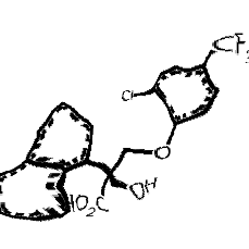 O=C(O)C(O)(COc1ccc(C(F)(F)F)cc1Cl)c1cccc2ccccc12